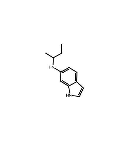 CCC(C)Nc1ccc2cc[nH]c2c1